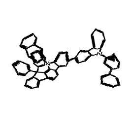 c1ccc(-c2cccc(-n3c4ccccc4c4cc(-c5ccc6c(c5)c5ccc7c(c5n6-c5ccc6ccccc6c5)C(c5ccccc5)(c5ccccc5)c5ccccc5-7)ccc43)c2)cc1